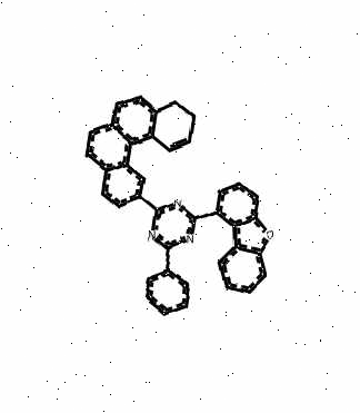 C1=Cc2c(ccc3ccc4ccc(-c5nc(-c6ccccc6)nc(-c6cccc7oc8ccccc8c67)n5)cc4c23)CC1